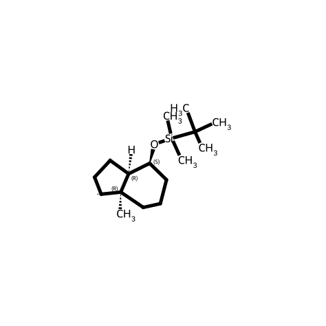 CC(C)(C)[Si](C)(C)O[C@H]1CCC[C@@]2(C)[CH]CC[C@@H]12